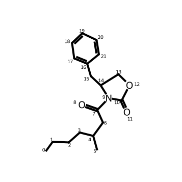 CCCCC(C)CC(=O)N1C(=O)OCC1Cc1ccccc1